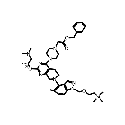 Cc1ccc2c(cnn2COCC[Si](C)(C)C)c1N1CCc2c(nc(O[C@H](C)CN(C)C)nc2N2CCN(CC(=O)OCc3ccccc3)CC2)C1